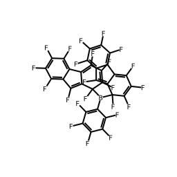 FC1=C2C(=C(F)c3c(F)c(F)c(F)c(F)c32)C(F)(B(c2c(F)c(F)c(F)c(F)c2F)C2(F)C(F)=C(F)C(F)=C3C2=C(F)c2c(F)c(F)c(F)c(F)c23)C(F)=C1F